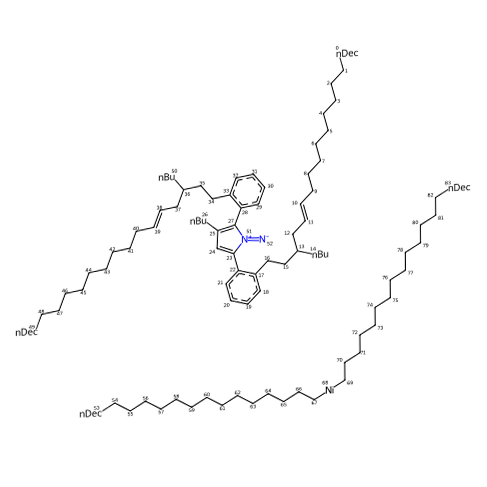 CCCCCCCCCCCCCCCCCCCC=CCC(CCCC)CCc1ccccc1C1=CC(CCCC)=C(c2ccccc2CCC(CC=CCCCCCCCCCCCCCCCCCCC)CCCC)[N+]1=[N-].CCCCCCCCCCCCCCCCCCCCCCC[CH2][Ni][CH2]CCCCCCCCCCCCCCCCCCCCCCC